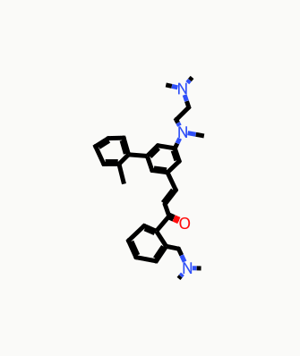 Cc1ccccc1-c1cc(C=CC(=O)c2ccccc2CN(C)C)cc(N(C)CCN(C)C)c1